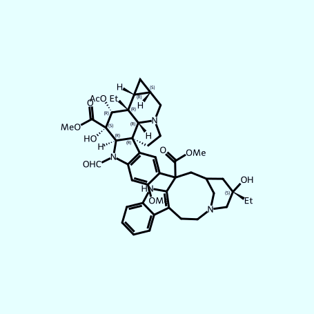 CC[C@]1(O)CC2CN(CCc3c([nH]c4ccccc34)C(C(=O)OC)(c3cc4c(cc3OC)N(C=O)[C@H]3[C@@](O)(C(=O)OC)[C@H](OC(C)=O)[C@]5(CC)[C@@H]6C[C@@H]6CN6CC[C@]43[C@@H]65)C2)C1